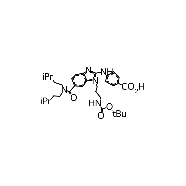 CC(C)CCN(CCC(C)C)C(=O)c1ccc2nc(Nc3ccc(C(=O)O)cc3)n(CCCNC(=O)OC(C)(C)C)c2c1